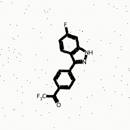 O=C(c1ccc(-c2n[nH]c3cc(F)ccc23)cc1)C(F)(F)F